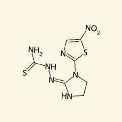 NC(=S)NN=C1NCCN1c1ncc([N+](=O)[O-])s1